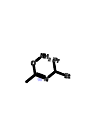 CCC(/N=C(/C)ON)C(C)C